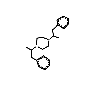 CC(Cc1ccccc1)N1CCN(C(C)Cc2ccccc2)CC1